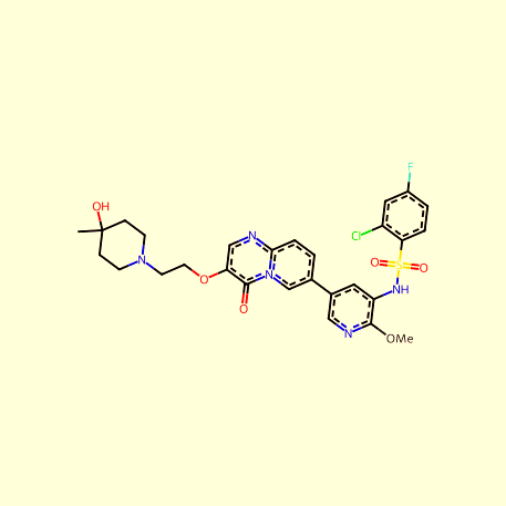 COc1ncc(-c2ccc3ncc(OCCN4CCC(C)(O)CC4)c(=O)n3c2)cc1NS(=O)(=O)c1ccc(F)cc1Cl